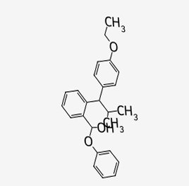 CCOc1ccc(C(c2ccccc2C(O)Oc2ccccc2)C(C)C)cc1